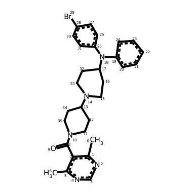 Cc1ncnc(C)c1C(=O)N1CCC(N2CCC(N(c3ccccc3)c3ccc(Br)cc3)CC2)CC1